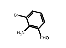 Nc1c(Br)cccc1C=O